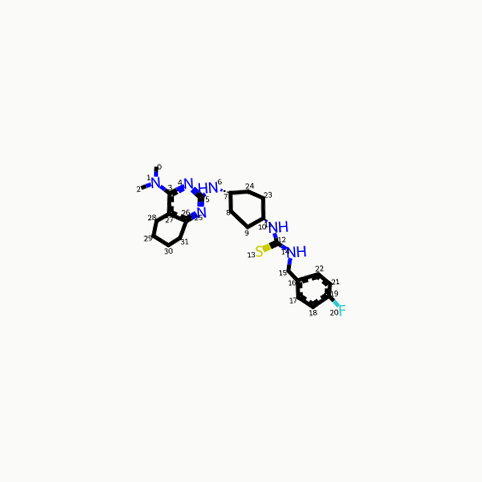 CN(C)c1nc(N[C@H]2CC[C@@H](NC(=S)NCc3ccc(F)cc3)CC2)nc2c1CCCC2